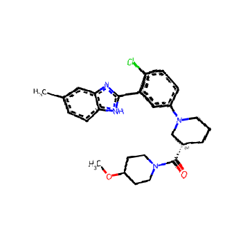 COC1CCN(C(=O)[C@H]2CCCN(c3ccc(Cl)c(-c4nc5cc(C)ccc5[nH]4)c3)C2)CC1